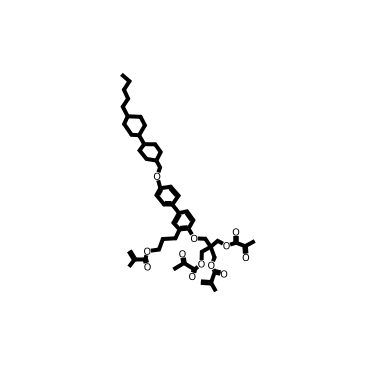 C=C(C)C(=O)OCCCc1cc(-c2ccc(OCC3CCC(C4CCC(CCCCC)CC4)CC3)cc2)ccc1OCC(COC(=O)C(=C)C)(COC(=O)C(C)=O)COC(=O)C(C)=O